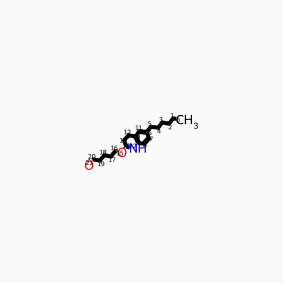 CCCCCCc1ccc2c(c1)CCC(OCCCC[C]=O)N2